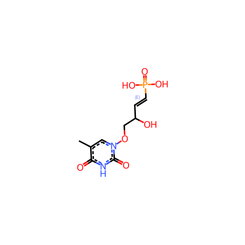 Cc1cn(OCC(O)/C=C/P(=O)(O)O)c(=O)[nH]c1=O